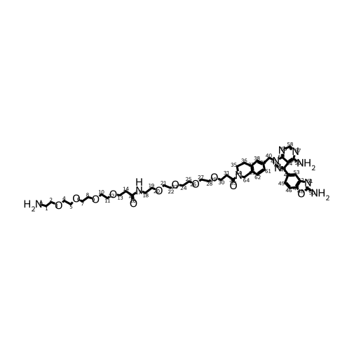 NCCOCCOCCOCCOCCC(=O)NCCOCCOCCOCCOCCC(=O)N1CCc2cc(Cn3nc(-c4ccc5oc(N)nc5c4)c4c(N)ncnc43)ccc2C1